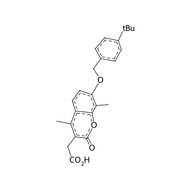 Cc1c(CC(=O)O)c(=O)oc2c(C)c(OCc3ccc(C(C)(C)C)cc3)ccc12